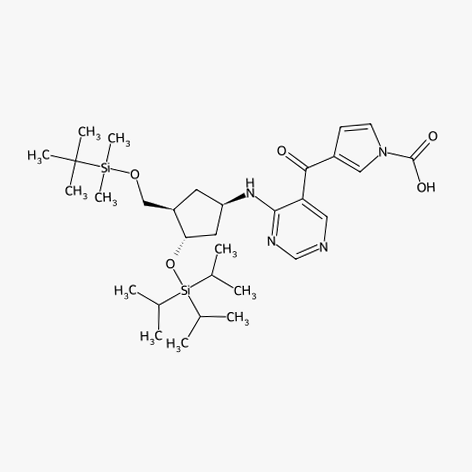 CC(C)[Si](O[C@H]1C[C@H](Nc2ncncc2C(=O)c2ccn(C(=O)O)c2)C[C@@H]1CO[Si](C)(C)C(C)(C)C)(C(C)C)C(C)C